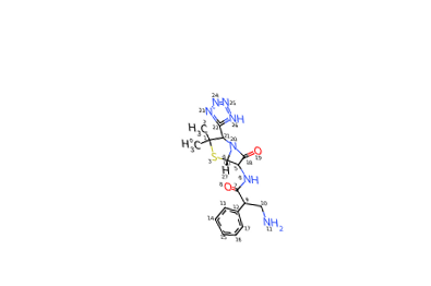 CC1(C)S[C@H]2C(NC(=O)C(CN)c3ccccc3)C(=O)N2C1c1nnn[nH]1